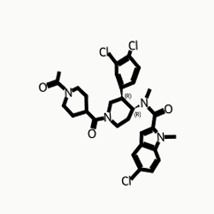 CC(=O)N1CCC(C(=O)N2CC[C@@H](N(C)C(=O)c3cc4cc(Cl)ccc4n3C)[C@H](c3ccc(Cl)c(Cl)c3)C2)CC1